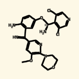 COc1cc(C(=N)c2cc(O[C@H](N)c3c(Cl)cncc3Cl)ccc2N)cnc1N1CCOCC1